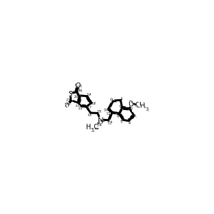 COc1cccc2c1CCCC2CN(C)CCc1ccc2c(c1)C(=O)SC2=O